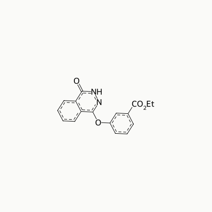 CCOC(=O)c1cccc(Oc2n[nH]c(=O)c3ccccc23)c1